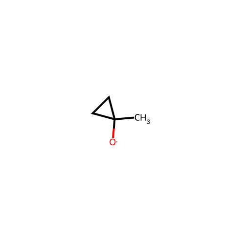 CC1([O])CC1